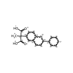 CC(C(=O)O)(C(=O)O)c1ccc2nc(-c3ccccc3)ccc2c1